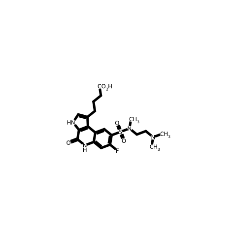 CN(C)CCN(C)S(=O)(=O)c1cc2c(cc1F)[nH]c(=O)c1[nH]cc(CCCC(=O)O)c12